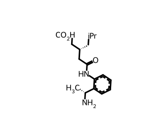 CC(C)C[C@@H](CC(=O)O)CC(=O)Nc1ccccc1[C@@H](C)N